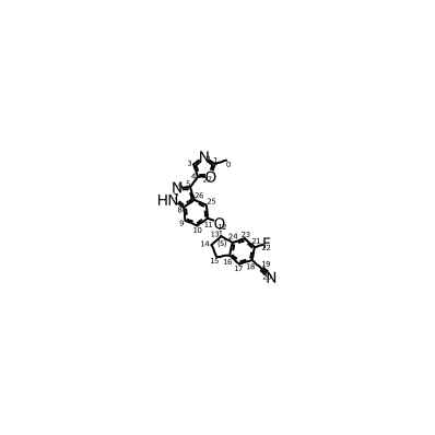 Cc1ncc(-c2n[nH]c3ccc(O[C@H]4CCc5cc(C#N)c(F)cc54)cc23)o1